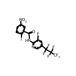 O=C(Nc1ncc(C(F)(F)C(F)(F)C(F)(F)F)cc1F)c1cc([N+](=O)[O-])ccc1I